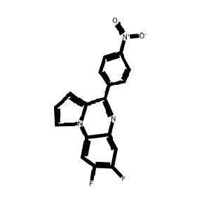 O=[N+]([O-])c1ccc(-c2nc3cc(F)c(F)cc3n3cccc23)cc1